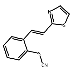 N#CSc1ccccc1/C=C/c1nccs1